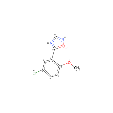 COc1ccc(Cl)cc1-c1ncno1